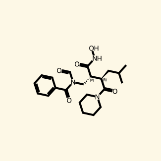 CC(C)C[C@@H](C(=O)N1CCCCC1)[C@H](CN(C=O)C(=O)c1ccccc1)C(=O)NO